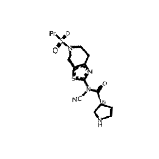 CC(C)S(=O)(=O)N1CCc2nc(N(C#N)C(=O)[C@H]3CCNC3)sc2C1